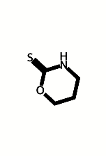 S=C1NCCCO1